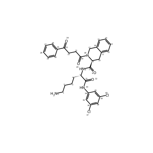 NCCCC[C@H](NC(=O)[C@@H]1Cc2ccccc2CN1C(=O)CCC(=O)c1ccccc1)C(=O)Nc1cc(Cl)cc(Cl)c1